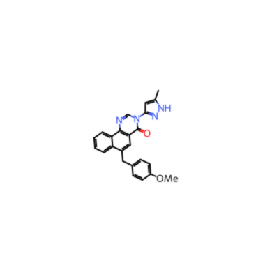 COc1ccc(Cc2cc3c(=O)n(-c4cc(C)[nH]n4)cnc3c3ccccc23)cc1